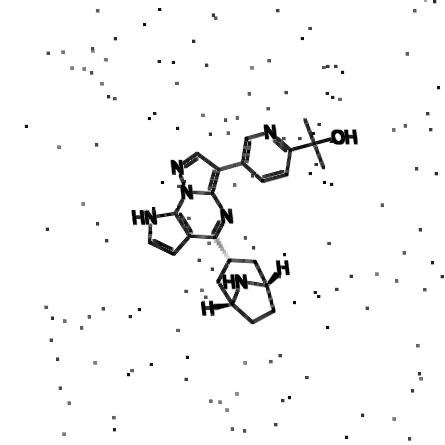 CC(C)(O)c1ccc(-c2cnn3c2nc([C@H]2C[C@H]4CC[C@@H](C2)N4)c2cc[nH]c23)cn1